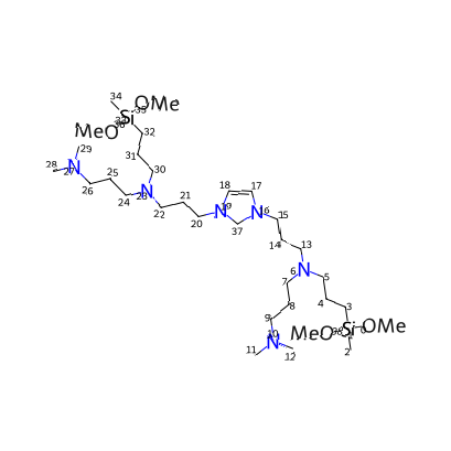 CO[Si](C)(CCCN(CCCN(C)C)CCCN1C=CN(CCCN(CCCN(C)C)CCC[Si](C)(OC)OC)C1)OC